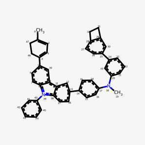 CC1=CC=C(c2ccc3c(c2)c2cc(-c4ccc(N(C)c5cccc(-c6ccc7c(c6)CC7)c5)cc4)ccc2n3-c2ccccc2)CC1